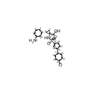 Nc1cccc([C@@H]2C[C@]2(NS(=O)(=O)c2ccc(-c3ccc(Cl)cc3)s2)C(=O)O)c1